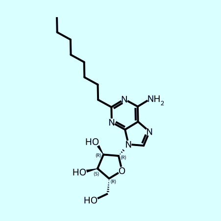 CCCCCCCCc1nc(N)c2ncn([C@@H]3O[C@H](CO)[C@@H](O)[C@H]3O)c2n1